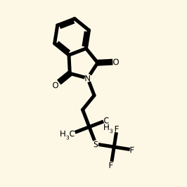 CC(C)(CCN1C(=O)c2ccccc2C1=O)SC(F)(F)F